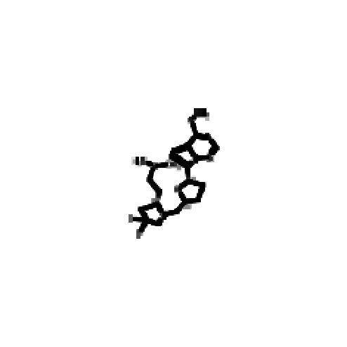 CSc1ncnn2c([C@H]3CC[C@@H](CN4CC(F)(F)C[C@H]4CCN(C)C)O3)ccc12